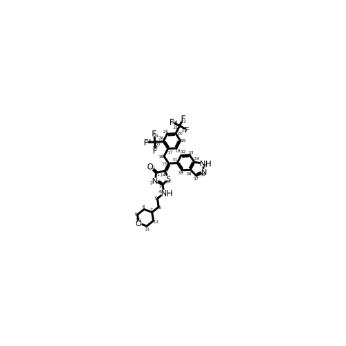 O=C1N=C(NCCC2CCOCC2)SC1=C(Cc1ccc(C(F)(F)F)cc1C(F)(F)F)c1ccc2[nH]ncc2c1